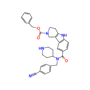 N#Cc1ccc(CN(C(=O)c2ccc3[nH]c4c(c3c2)CN(C(=O)OCc2ccccc2)CC4)C2CCNCC2)cc1